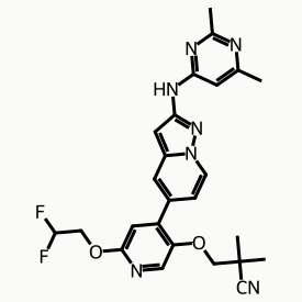 Cc1cc(Nc2cc3cc(-c4cc(OCC(F)F)ncc4OCC(C)(C)C#N)ccn3n2)nc(C)n1